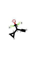 C#CC(C1CC1)C([O])(F)F